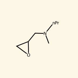 CCCN(C)CC1CO1